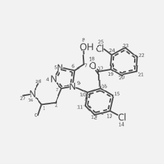 CC(Cc1nnc(CO)n1-c1ccc(Cl)cc1C(=O)c1ccccc1Cl)N(C)C